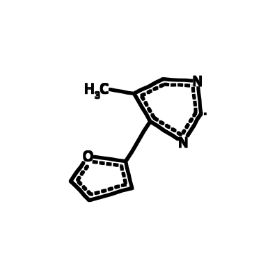 Cc1cn[c]nc1-c1ccco1